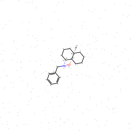 O[C@@]12CCCC[C@@H]1CCC[C@H]2NCc1ccccc1